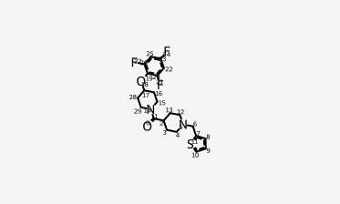 O=C(C1CCN(Cc2cccs2)CC1)N1CCC(Oc2c(F)cc(F)cc2F)CC1